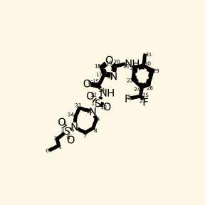 CCCS(=O)(=O)N1CCCN(S(=O)(=O)NC(=O)c2coc(Nc3cc(C(F)F)ccc3C)n2)CC1